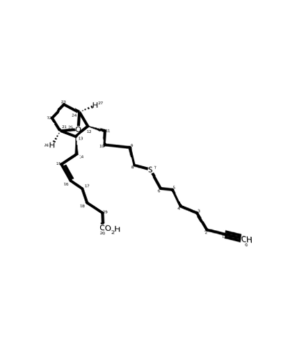 C#CCCCCCSCCCC[C@H]1[C@@H](C/C=C\CCCC(=O)O)[C@H]2CC[C@@H]1O2